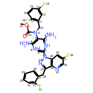 C=C(/N=C(/N)C(=C(N)N)N(Cc1cc(F)ccc1F)C(=O)OC)n1nc(Cc2ccccc2F)c2ncc(F)cc21